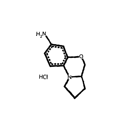 Cl.Nc1ccc2c(c1)OCC1CCCN21